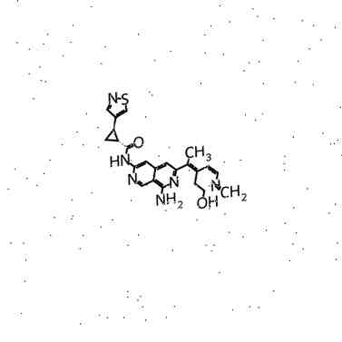 C=N/C=C\C(CCO)=C(/C)c1cc2cc(NC(=O)[C@@H]3C[C@H]3c3cnsc3)ncc2c(N)n1